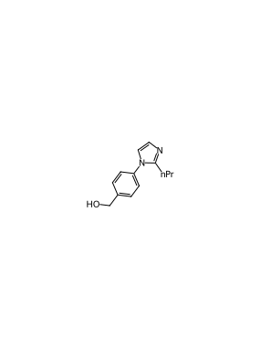 CCCc1nccn1-c1ccc(CO)cc1